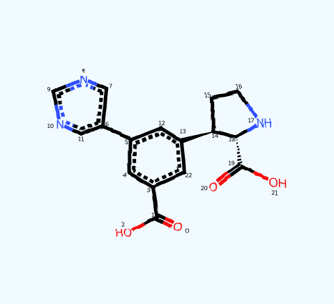 O=C(O)c1cc(-c2cncnc2)cc([C@H]2CCN[C@@H]2C(=O)O)c1